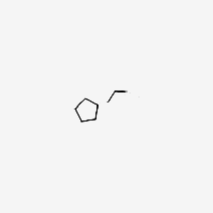 CCN.[CH]1CCCC1